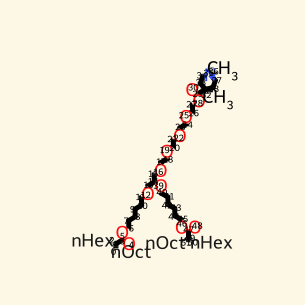 CCCCCCCCC(CCCCCC)C(=O)OCCCCCCOCC(COCCOCCOCCOCCOC(=O)C1(C)CCN(C)CC1)OCCCCCCOC(=O)C(CCCCCC)CCCCCCCC